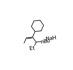 CC=C(C(CC)CCCC)C1CCCCC1.[NaH]